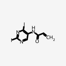 C=CC(=O)Nc1cnc(I)nc1I